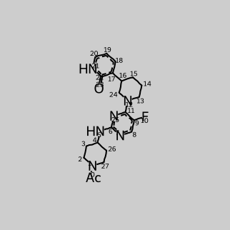 CC(=O)N1CCC(Nc2ncc(F)c(N3CCCC(c4ccc[nH]c4=O)C3)n2)CC1